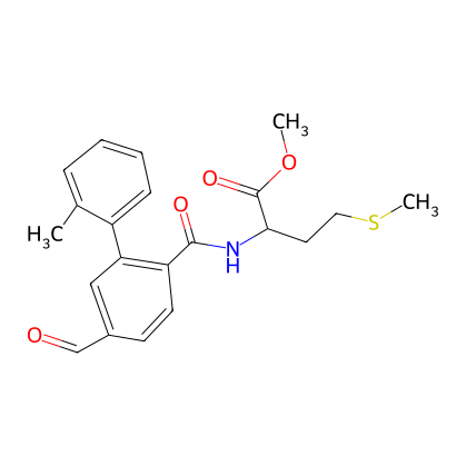 COC(=O)C(CCSC)NC(=O)c1ccc(C=O)cc1-c1ccccc1C